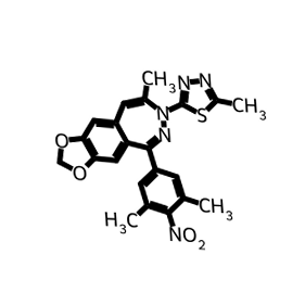 CC1=Cc2cc3c(cc2C(c2cc(C)c([N+](=O)[O-])c(C)c2)=NN1c1nnc(C)s1)OCO3